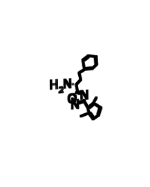 Cc1cccc(C)c1-c1noc([C@H](N)CCc2ccccc2)n1